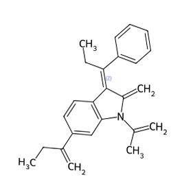 C=C(CC)c1ccc2/c(=C(\CC)c3ccccc3)c(=C)n(C(=C)C)c2c1